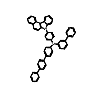 c1ccc(-c2ccc(-c3ccc(N(c4ccc(-n5c6ccccc6c6c7ccccc7ccc65)cc4)c4cccc(-c5ccccc5)c4)cc3)cc2)cc1